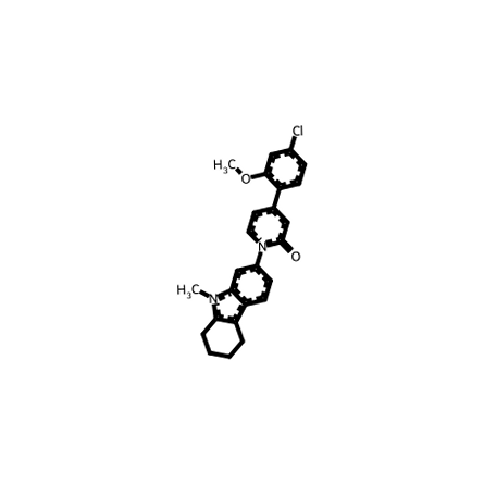 COc1cc(Cl)ccc1-c1ccn(-c2ccc3c4c(n(C)c3c2)CCCC4)c(=O)c1